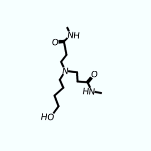 CNC(=O)CCN(CCCCO)CCC(=O)NC